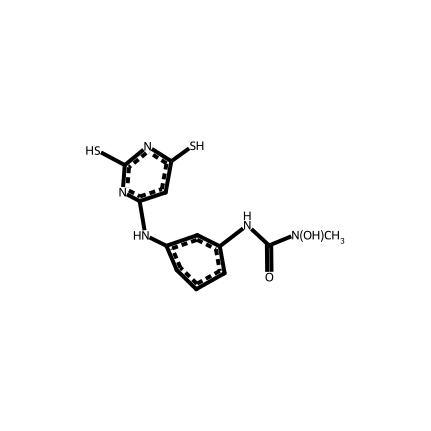 CN(O)C(=O)Nc1cccc(Nc2cc(S)nc(S)n2)c1